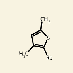 Cc1cc(C)[c]([Rb])s1